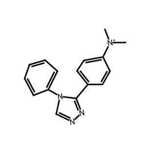 C[N+](C)c1ccc(-c2nncn2-c2ccccc2)cc1